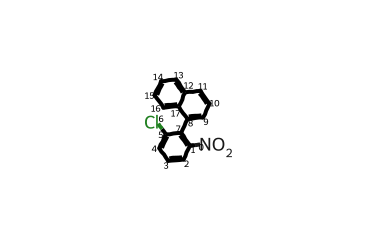 O=[N+]([O-])c1cccc(Cl)c1-c1cccc2ccccc12